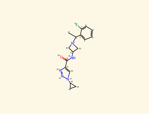 CC(c1ccccc1F)N1CC(NC(=O)c2cn(C3CC3)nn2)C1